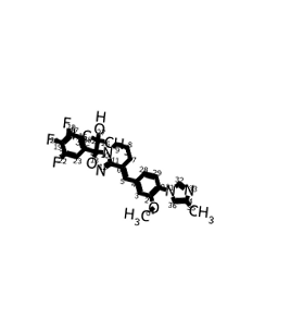 COc1cc(C=C2CCCN3C2=NOC3(c2cc(F)c(F)c(F)c2)C(C)(C)O)ccc1-n1cnc(C)c1